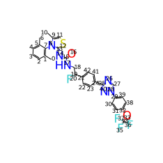 Cc1cccc(C)c1-n1c(C)cs/c1=N\C(=O)NCC(F)c1ccc(-c2ncn(-c3ccc(OC(F)(F)F)cc3)n2)cc1